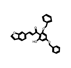 O=C(/C=C/c1ccc2ccoc2c1)c1c(O)cc(OCc2ccccc2)cc1OCc1ccccc1